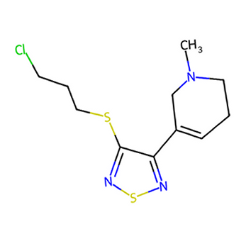 CN1CCC=C(c2nsnc2SCCCCl)C1